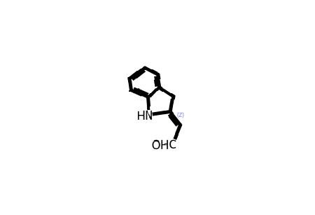 O=C/C=C1/Cc2ccccc2N1